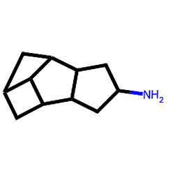 NC1CC2C(C1)C1CC3CC2C31